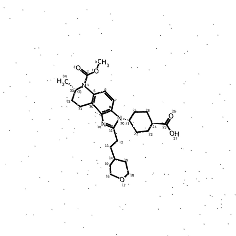 COC(=O)N1c2ccc3c(nc(CCC4CCOCC4)n3[C@H]3CC[C@H](C(=O)O)CC3)c2CC[C@@H]1C